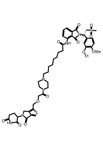 CCOc1cc([C@@H](CS(C)(=O)=O)N2C(=O)c3cccc(NC(=O)CCCCCCCCN4CCN(C(=O)COCc5scc6c5CN(C5CCC(=O)NC5=O)C6=O)CC4)c3C2=O)ccc1OC